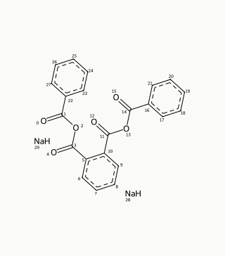 O=C(OC(=O)c1ccccc1C(=O)OC(=O)c1ccccc1)c1ccccc1.[NaH].[NaH]